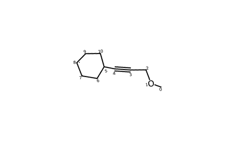 COCC#CC1CC[CH]CC1